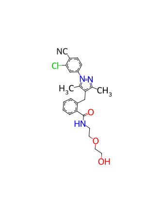 Cc1nn(-c2ccc(C#N)c(Cl)c2)c(C)c1Cc1ccccc1C(=O)NCCOCCO